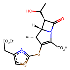 CCOC(=O)Cc1csc(SC2=C(C(=O)O)N3C(=O)[C@H](C(C)O)[C@H]3[C@H]2C)n1